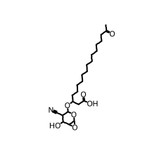 CC(=O)CCCCCCCCCCCCCC(CC(=O)O)OC1OC2OC2C(O)C1C#N